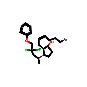 CC(=O)CCC/C=C\C[C@@H]1[C@@H](C(C)CC(F)(F)COc2ccccc2)CC[C@@H]1O